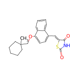 CC1(COc2ccc(/C=C3\SC(=O)NC3=O)c3ccccc23)CCCCC1